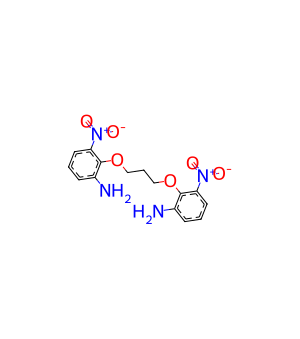 Nc1cccc([N+](=O)[O-])c1OCCCOc1c(N)cccc1[N+](=O)[O-]